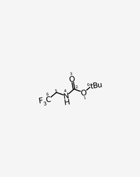 CC(C)(C)OC(=O)NCC(F)(F)F